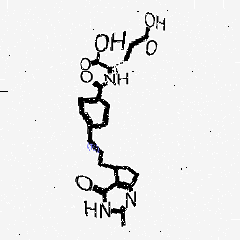 Cc1nc2c(c(=O)[nH]1)C(C/C=C/c1ccc(C(=O)N[C@@H](CCC(=O)O)C(=O)O)cc1)CC2